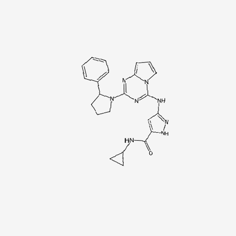 O=C(NC1CC1)c1cc(Nc2nc(N3CCCC3c3ccccc3)nc3cccn23)n[nH]1